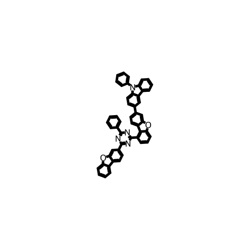 c1ccc(-c2nc(-c3ccc4c(c3)oc3ccccc34)nc(-c3cccc4oc5cc(-c6ccc7c(c6)c6ccccc6n7-c6ccccc6)ccc5c34)n2)cc1